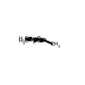 CCCCCCCCOc1ccc(OC(=O)c2ccc(/N=N/c3ccc(N(C)C)cc3)c(F)c2)cc1